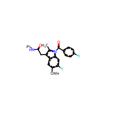 COc1cc2c(CC(=O)NC(C)C)c(C)n(C(=O)c3ccc(F)cc3)c2cc1F